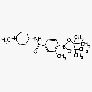 Cc1cc(C(=O)NC2CCN(C)CC2)ccc1B1OC(C)(C)C(C)(C)O1